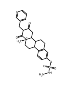 C[C@]12CCC3c4ccc(OS(=O)(=O)NN)cc4CCC3C1CC(=O)C(Cc1cccnc1)C2=O